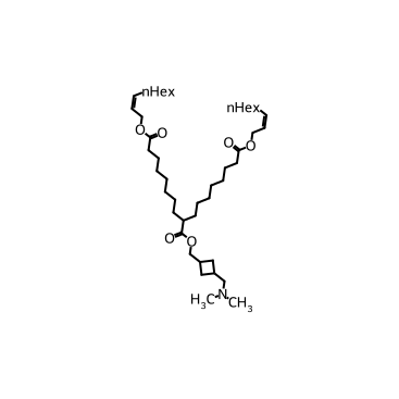 CCCCCC/C=C\COC(=O)CCCCCCCC(CCCCCCCC(=O)OC/C=C\CCCCCC)C(=O)OCC1CC(CN(C)C)C1